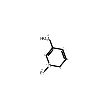 [CH2]CN1C=C(C(=O)O)C=CC1